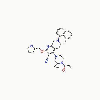 C=CC(=O)N1CCN(c2c(C#N)c(OCC3CCCN3C)nc3c2CCN(c2cccc4cccc(C)c24)C3)CC12CC2